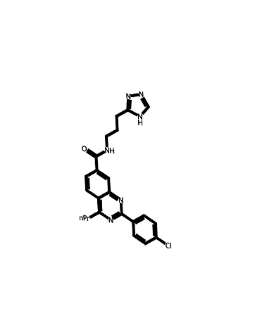 CCCc1nc(-c2ccc(Cl)cc2)nc2cc(C(=O)NCCCc3nnc[nH]3)ccc12